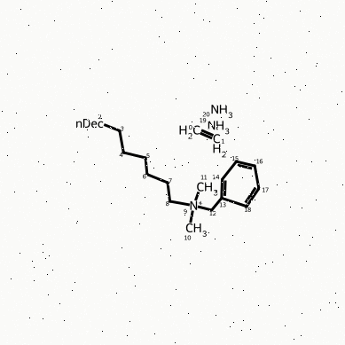 C=C.CCCCCCCCCCCCCCCC[N+](C)(C)Cc1ccccc1.N.N